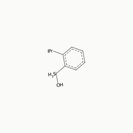 CC(C)c1ccccc1[SiH2]O